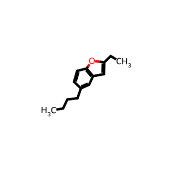 CCCCc1ccc2oc(CC)cc2c1